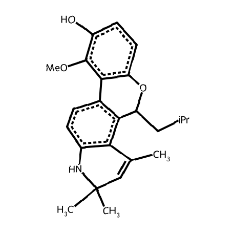 COc1c(O)ccc2c1-c1ccc3c(c1C(CC(C)C)O2)C(C)=CC(C)(C)N3